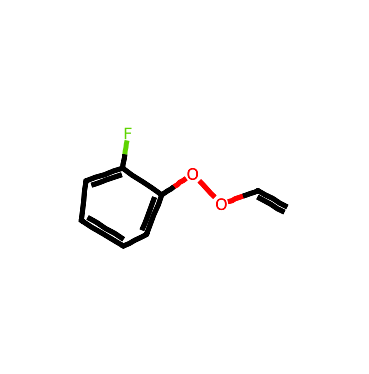 C=COOc1ccccc1F